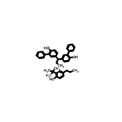 CCC(c1ccc(O)c(-c2ccccc2)c1)c1ccc(O)c(-c2ccccc2)c1.CCCc1ccc(O)c(C(C)(C)C)c1